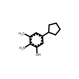 Cc1cc(C2CCCC2)cc(O)c1N